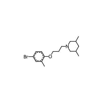 Cc1cc(Br)ccc1OCCCN1CC(C)CC(C)C1